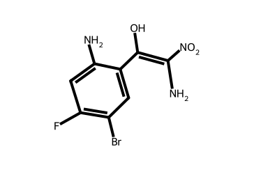 N/C(=C(/O)c1cc(Br)c(F)cc1N)[N+](=O)[O-]